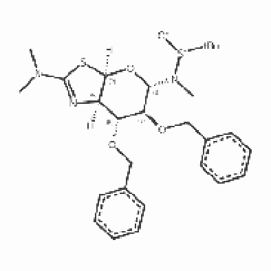 CN(C)C1=N[C@@H]2[C@@H](OCc3ccccc3)[C@H](OCc3ccccc3)[C@@H](N(C)[S+]([O-])C(C)(C)C)O[C@@H]2S1